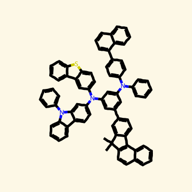 CC1(C)c2cc(-c3cc(N(c4ccccc4)c4ccc(-c5cccc6ccccc56)cc4)cc(N(c4ccc5sc6ccccc6c5c4)c4ccc5c6ccccc6n(-c6ccccc6)c5c4)c3)ccc2-c2c1ccc1ccccc21